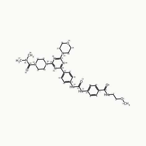 COCCNC(=O)c1ccc(NC(=O)Nc2ccc(-c3nc(N4CCOCC4)nc(N4CCN(C(=O)N(C)C)CC4)n3)cc2)cc1